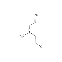 C=CC[SiH](C)CCCl